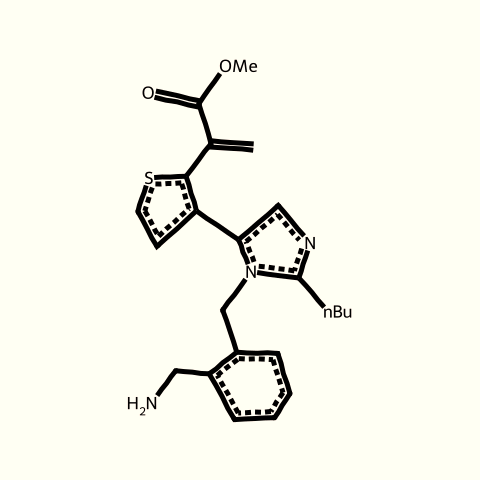 C=C(C(=O)OC)c1sccc1-c1cnc(CCCC)n1Cc1ccccc1CN